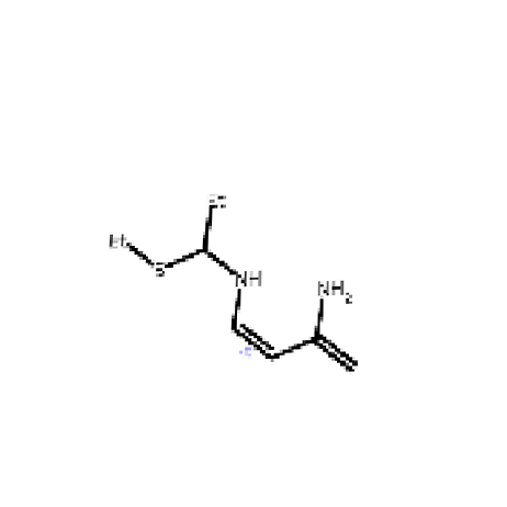 C=C(N)/C=C\NC(CC)SCC